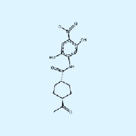 CC(=O)[C@H]1CC[C@H](C(=O)Nc2cc(O)c([N+](=O)[O-])cc2O)CC1